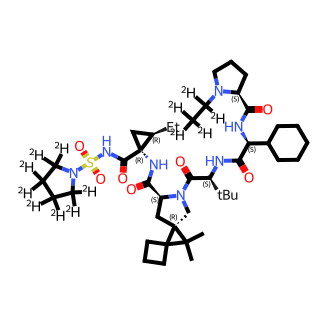 [2H]C([2H])([2H])C([2H])([2H])N1CCC[C@H]1C(=O)N[C@H](C(=O)N[C@H](C(=O)N1C[C@]2(C[C@H]1C(=O)N[C@]1(C(=O)NS(=O)(=O)N3C([2H])([2H])C([2H])([2H])C([2H])([2H])C3([2H])[2H])C[C@H]1CC)C(C)(C)C21CCC1)C(C)(C)C)C1CCCCC1